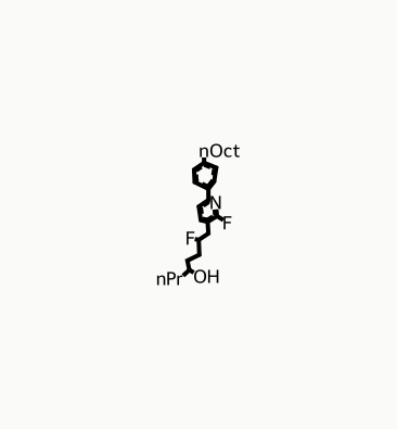 CCCCCCCCc1ccc(-c2ccc(CC(F)CCC(O)CCC)c(F)n2)cc1